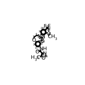 COc1cc(N2CCOc3ccc(NC(=O)c4ncoc4C)cc3S2(=O)=O)ccc1C(F)(F)F